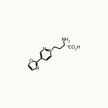 N[C@@H](CC[n+]1ccc(-c2ncco2)cn1)C(=O)O